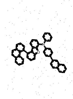 c1ccc(N(c2ccc(-c3ccc4ccccc4c3)cc2)c2cccc3c2oc2cccc(-c4cccc5ccc6ccccc6c45)c23)cc1